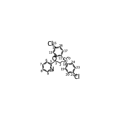 CS(CC(=O)c1ccccn1)(c1ccc(Cl)cc1)c1ccc(Cl)cc1